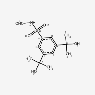 CC(C)(O)c1cc(C(C)(C)O)cc(S(=O)(=O)NC=O)c1